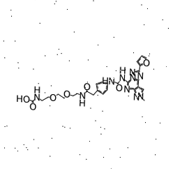 Cn1cc2c(nc(NC(=O)Nc3ccc(CC(=O)NCCOCCOCCNC(=O)O)cc3)n3nc(-c4ccco4)nc23)n1